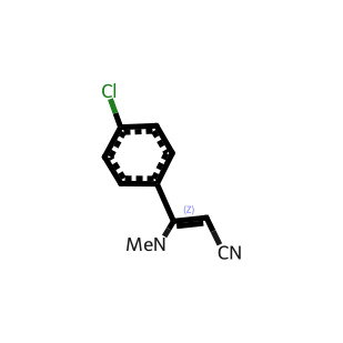 CN/C(=C\C#N)c1ccc(Cl)cc1